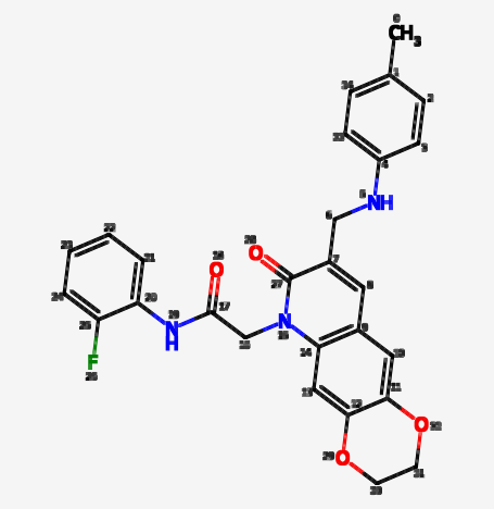 Cc1ccc(NCc2cc3cc4c(cc3n(CC(=O)Nc3ccccc3F)c2=O)OCCO4)cc1